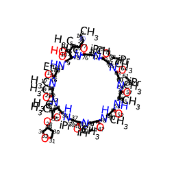 C/C=C/C[C@@H](C)[C@@H](O)C1C(=O)N[C@@H](CC)C(=O)N(C)[C@H](C)C(=O)N(C)[C@@H]([C@H](C)CO[C@H]2CCOC2)C(=O)N[C@@H](C(C)C)C(=O)N(C)[C@@H](CC(C)C)C(=O)N[C@@H](C)C(=O)N[C@H](C)C(=O)N(C)[C@@H](CC(C)C)C(=O)N(C)[C@@H](CC(C)C)C(=O)N(C)[C@@H](C(C)C)C(=O)N1C